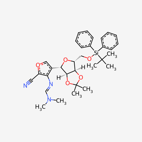 CN(C)C=Nc1c([C@@H]2O[C@H](CO[Si](c3ccccc3)(c3ccccc3)C(C)(C)C)[C@H]3OC(C)(C)O[C@H]32)coc1C#N